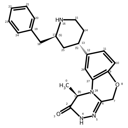 C[C@@H]1C(=O)NN=C2COc3ccc([C@H]4CCN[C@H](Cc5ccccc5)C4)cc3N21